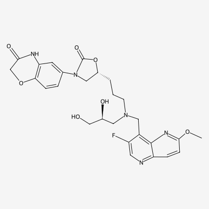 COc1ccc2ncc(F)c(CN(CCC[C@@H]3CN(c4ccc5c(c4)NC(=O)CO5)C(=O)O3)C[C@H](O)CO)c2n1